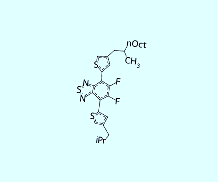 CCCCCCCCC(C)Cc1csc(-c2c(F)c(F)c(-c3cc(CC(C)C)cs3)c3nsnc23)c1